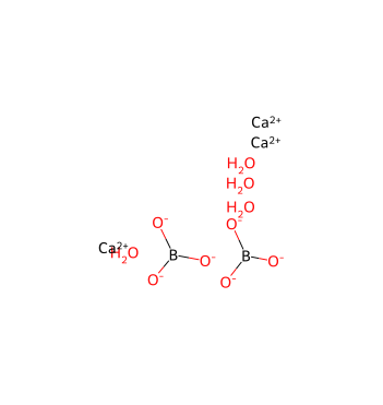 O.O.O.O.[Ca+2].[Ca+2].[Ca+2].[O-]B([O-])[O-].[O-]B([O-])[O-]